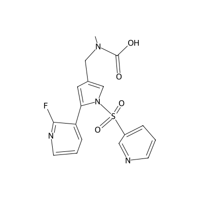 CN(Cc1cc(-c2cccnc2F)n(S(=O)(=O)c2cccnc2)c1)C(=O)O